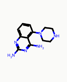 Nc1nc(N)c2c(N3CCNCC3)cccc2n1